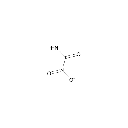 [NH]C(=O)[N+](=O)[O-]